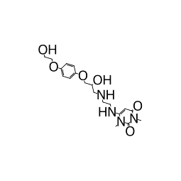 Cn1c(NCCNCC(O)COc2ccc(OCCO)cc2)cc(=O)n(C)c1=O